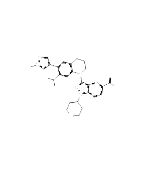 Cn1cc(-c2cc3c(cc2C(F)F)N(c2nn(C4CCOCC4)c4ccc(C(=O)O)nc24)CCC3)cn1